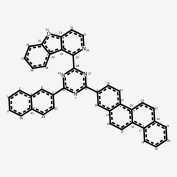 c1ccc2cc(-c3nc(-c4ccc5c(ccc6c7ccccc7ccc56)c4)nc(-c4nccc5oc6ccccc6c45)n3)ccc2c1